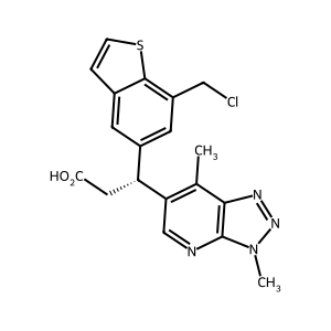 Cc1c([C@H](CC(=O)O)c2cc(CCl)c3sccc3c2)cnc2c1nnn2C